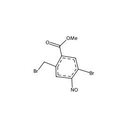 COC(=O)c1cc(Br)c(N=O)cc1CBr